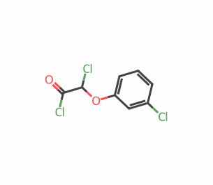 O=C(Cl)C(Cl)Oc1cccc(Cl)c1